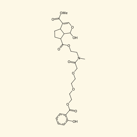 COC(=O)C1=COC(O)C2C(C(=O)OCCN(C)C(=O)COCCOCCOC(=O)c3ccccc3O)CCC12